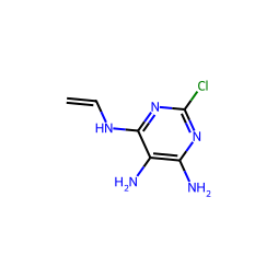 C=CNc1nc(Cl)nc(N)c1N